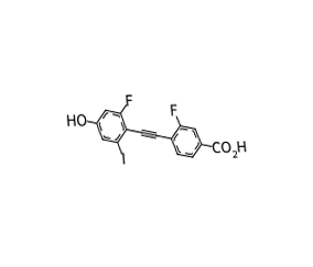 O=C(O)c1ccc(C#Cc2c(F)cc(O)cc2I)c(F)c1